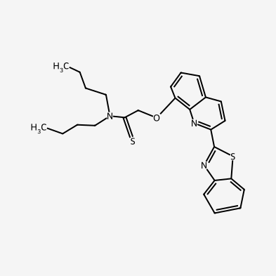 CCCCN(CCCC)C(=S)COc1cccc2ccc(-c3nc4ccccc4s3)nc12